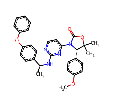 COc1ccc([C@@H]2N(c3ccnc(N[C@@H](C)c4ccc(Oc5ccccc5)cc4)n3)C(=O)OC2(C)C)cc1